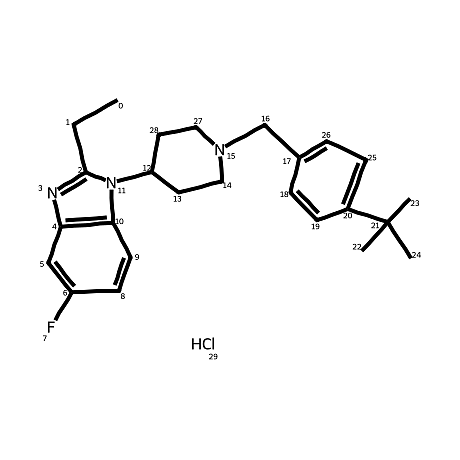 CCc1nc2cc(F)ccc2n1C1CCN(Cc2ccc(C(C)(C)C)cc2)CC1.Cl